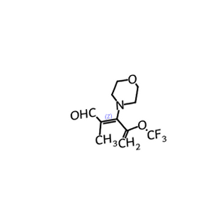 C=C(OC(F)(F)F)/C(=C(\C)C=O)N1CCOCC1